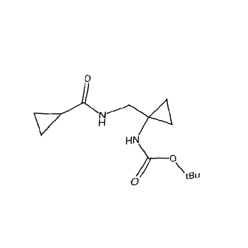 CC(C)(C)OC(=O)NC1(CNC(=O)C2CC2)CC1